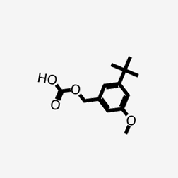 COc1cc(COC(=O)O)cc(C(C)(C)C)c1